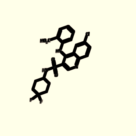 O=C(O)c1ccccc1Nc1c(S(=O)(=O)NC2CCC(F)(F)CC2)cnc2ccc(Cl)cc12